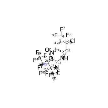 O=[N+]([O-])c1cc(C(F)(F)F)c(Cl)cc1NC1=NC(C(F)(F)F)(C(F)(F)F)/C(=C(\F)C(F)(F)F)S1